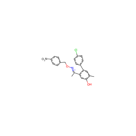 C/C(=N\OCc1ccc([N+](=O)[O-])cc1)c1cc(O)c(C)cc1-c1ccc(Cl)cc1